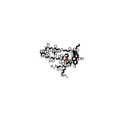 CCCC1O[C@@H]2C[C@H]3[C@@H]4CCC5=CC(=O)C=C[C@]5(C)[C@H]4[C@@H](O)C[C@]3(C)[C@]2(C(=O)COC(=O)CCCSSCC(NC(C)=O)C(=O)NCC(=O)N[C@@H](C)C(=O)N[C@H](C(=O)N[C@@H](C)C(=O)NCC(=O)NCC(=O)N[C@@H](CC(=O)O)C(=O)N2CCC[C@H]2C(=O)N[C@H](C(=O)N[C@@H](CCCCN)C(=O)NCC(N)=O)C(C)C)C(C)C)O1